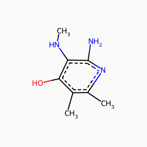 CNc1c(N)nc(C)c(C)c1O